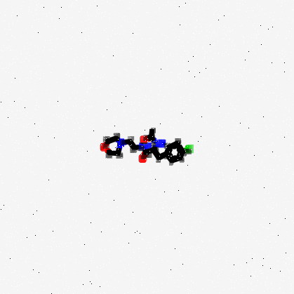 CC(=O)NC(Cc1ccc(Cl)cc1)C(=O)NCCN1CCOCC1